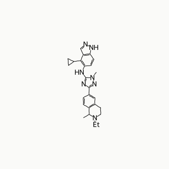 CCN1CCc2cc(-c3nc(Nc4ccc5[nH]ncc5c4C4CC4)n(C)n3)ccc2C1C